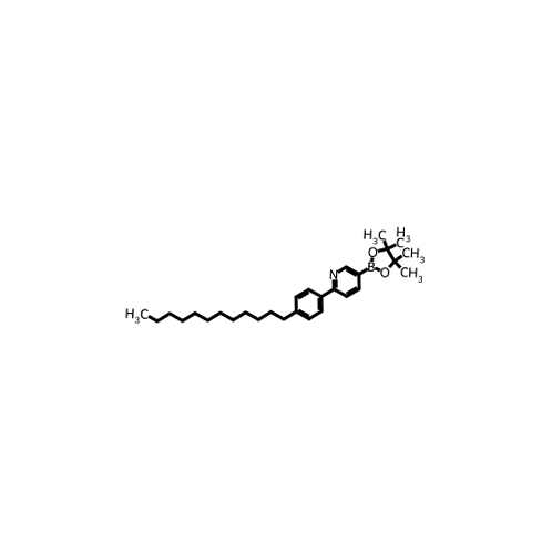 CCCCCCCCCCCCc1ccc(-c2ccc(B3OC(C)(C)C(C)(C)O3)cn2)cc1